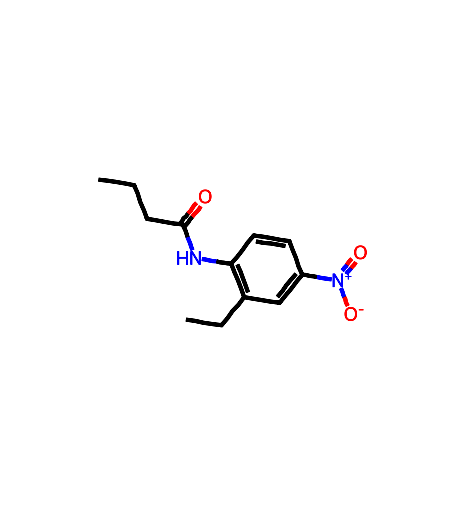 CCCC(=O)Nc1ccc([N+](=O)[O-])cc1CC